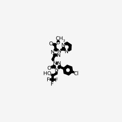 COC(=O)c1nc(Cn2nc(-c3ccc(Cl)cc3)n(CC(O)C(F)(F)F)c2=O)nn1-c1ncccn1